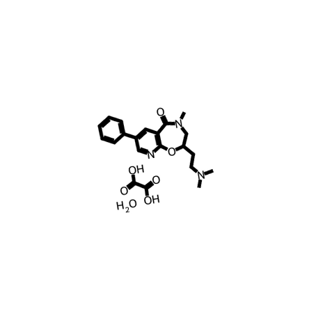 CN(C)CCC1CN(C)C(=O)c2cc(-c3ccccc3)cnc2O1.O.O=C(O)C(=O)O